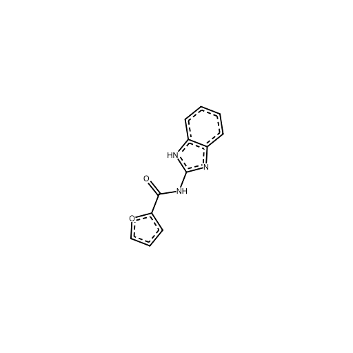 O=C(Nc1nc2ccccc2[nH]1)c1ccco1